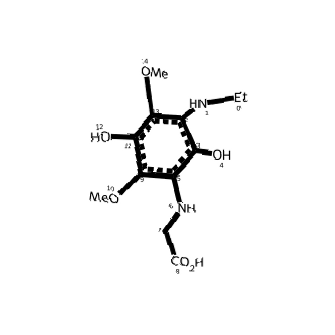 CCNc1c(O)c(NCC(=O)O)c(OC)c(O)c1OC